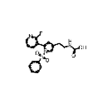 O=C(O)NCCc1cc(-c2cccnc2F)n(S(=O)(=O)c2ccccc2)c1